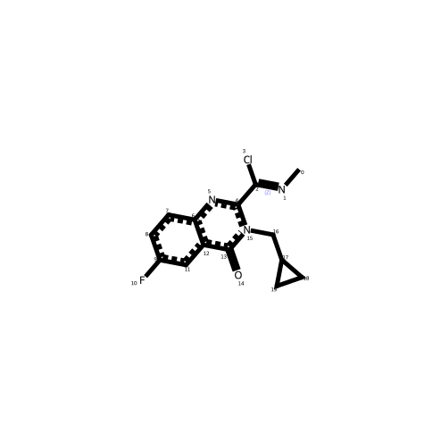 C/N=C(\Cl)c1nc2ccc(F)cc2c(=O)n1CC1CC1